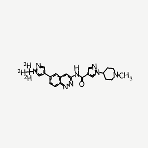 [2H]C([2H])([2H])n1cc(-c2ccc3nnc(NC(=O)c4cnn(C5CCN(C)CC5)c4)cc3c2)cn1